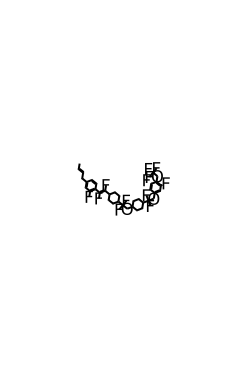 C/C=C/Cc1ccc(/C(F)=C(\F)C2CCC(C(F)(F)OC3CCC(C(F)(F)Oc4cc(F)c(OC(F)(F)F)c(F)c4)CC3)CC2)c(F)c1